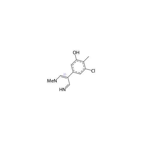 CN/C=C(\C=N)c1cc(O)c(C)c(Cl)c1